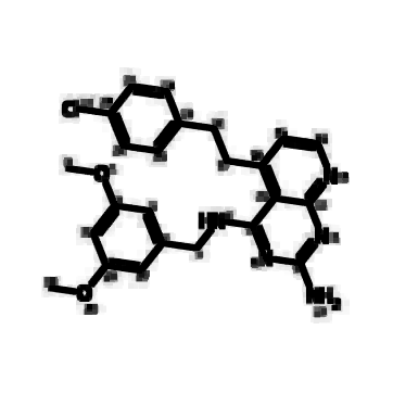 COc1cc(CNc2nc(N)nc3nccc(CCc4ccc(Cl)cc4)c23)cc(OC)c1